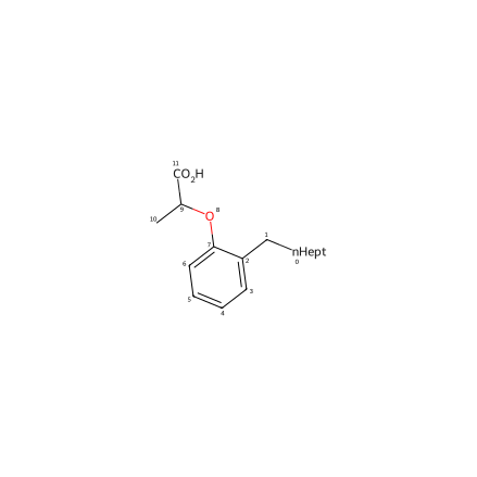 CCCCCCCCc1ccccc1OC(C)C(=O)O